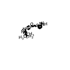 CC(C)(C)c1cc2c(N3CCN(C(=O)CCCOc4cccc5[nH]nnc45)CC3)ncnc2s1